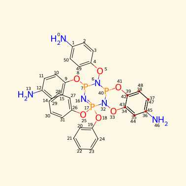 Nc1ccc(ON2P(Oc3ccc(N)cc3)N=P(Oc3ccccc3)(Oc3ccccc3)N(Oc3ccccc3)P2Oc2ccc(N)cc2)cc1